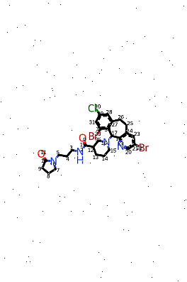 O=C(NCCCN1CCCC1=O)C1CCCN(C2c3ncc(Br)cc3CCc3cc(Cl)cc(Br)c32)C1